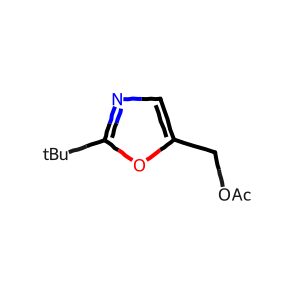 CC(=O)OCc1cnc(C(C)(C)C)o1